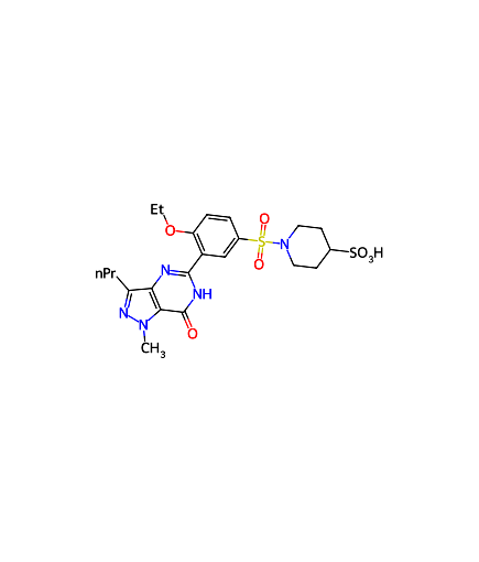 CCCc1nn(C)c2c(=O)[nH]c(-c3cc(S(=O)(=O)N4CCC(S(=O)(=O)O)CC4)ccc3OCC)nc12